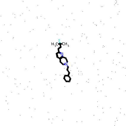 CC(C)(F)CCc1ccc2c(n1)CCN(CCCC1CCCCC1)CC2